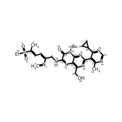 C=N/C(=C\C=C(/C)S(=O)(=O)CC)CNc1nc2c(CO)nc(-c3c(C)ncnc3C3CC3)nc2n([C@H](C)CC)c1=O